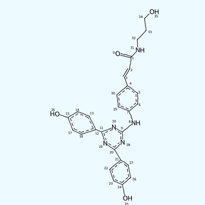 O=C(/C=C/c1ccc(Nc2nc(-c3ccc(O)cc3)nc(-c3ccc(O)cc3)n2)cc1)NCCCO